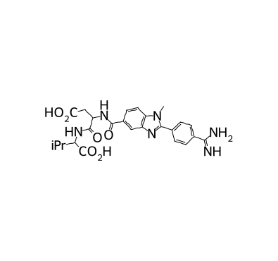 CC(C)C(NC(=O)C(CC(=O)O)NC(=O)c1ccc2c(c1)nc(-c1ccc(C(=N)N)cc1)n2C)C(=O)O